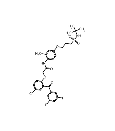 Cc1cc(OCCCS(=O)(=O)NC(C)(C)C)ccc1NC(=O)COc1ccc(Cl)cc1C(=O)c1cc(F)cc(F)c1